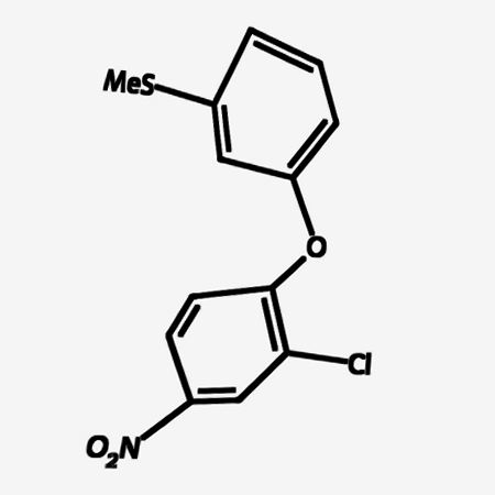 CSc1cccc(Oc2ccc([N+](=O)[O-])cc2Cl)c1